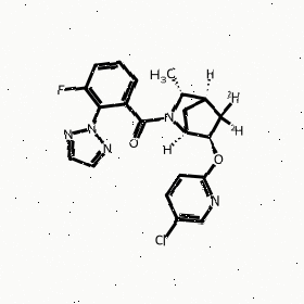 [2H]C1([2H])[C@H]2C[C@@H]([C@@H]1Oc1ccc(Cl)cn1)N(C(=O)c1cccc(F)c1-n1nccn1)[C@@H]2C